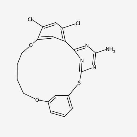 Nc1nc2nc(n1)-c1cc(c(Cl)cc1Cl)OCCCCOc1cccc(c1)S2